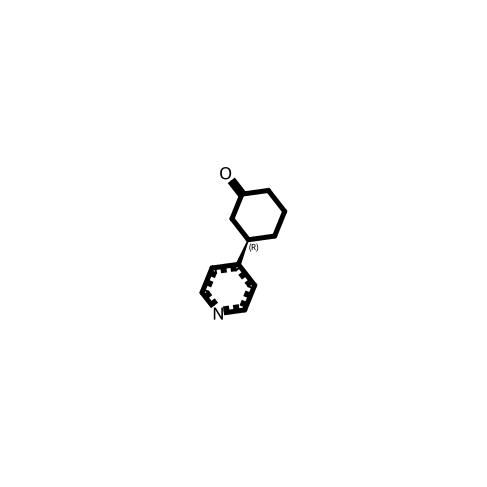 O=C1CCC[C@@H](c2ccncc2)C1